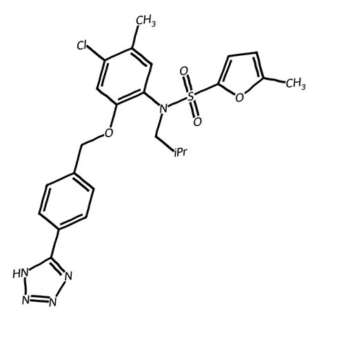 Cc1ccc(S(=O)(=O)N(CC(C)C)c2cc(C)c(Cl)cc2OCc2ccc(-c3nnn[nH]3)cc2)o1